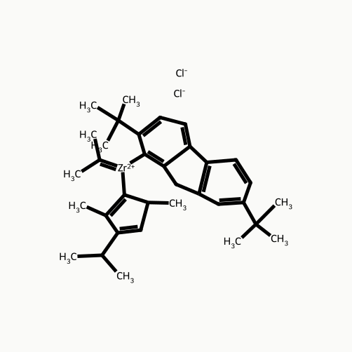 CC1=[C]([Zr+2](=[C](C)C)[c]2c(C(C)(C)C)ccc3c2Cc2cc(C(C)(C)C)ccc2-3)C(C)C=C1C(C)C.[Cl-].[Cl-]